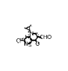 O=CC1CN(C2CC2)c2cc(Cl)ncc2C1=O